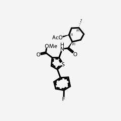 COC(=O)c1cc(-c2ccc(F)cc2)sc1NC(=O)[C@@H]1CC[C@@H](C)C[C@@H]1OC(C)=O